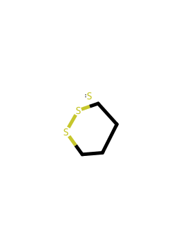 C1CCSSC1.[S]